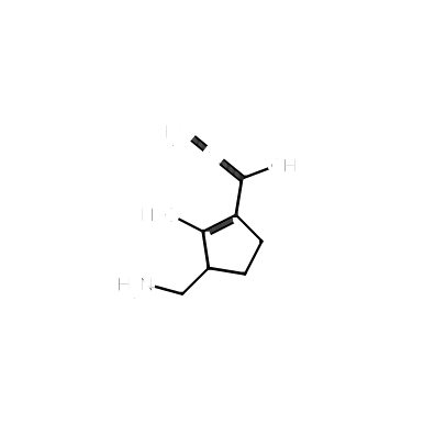 C=C=C(C)C1=C(C)C(CN)CC1